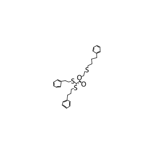 O=C(OCCSCCCCc1ccccc1)[C](SCCCc1ccccc1)SCCc1ccccc1